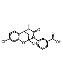 CC12CC(NC(=O)N1c1cccc(C(=O)O)c1)c1ccc(Cl)cc1O2